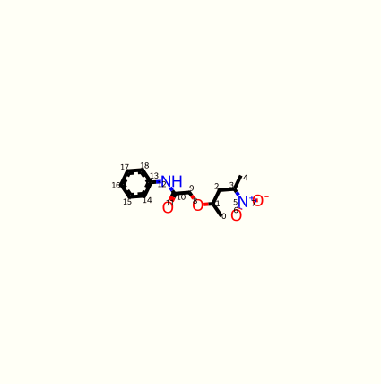 CC(CC(C)[N+](=O)[O-])OCC(=O)Nc1ccccc1